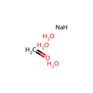 C=O.O.O.O.[NaH]